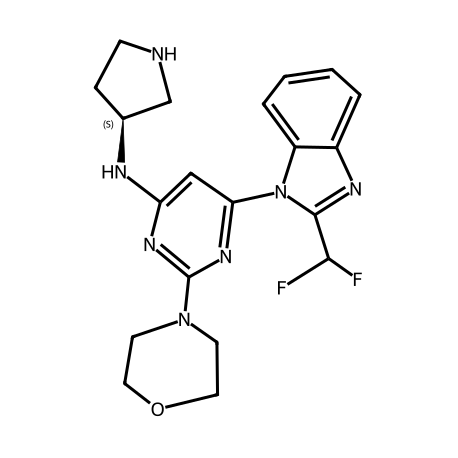 FC(F)c1nc2ccccc2n1-c1cc(N[C@H]2CCNC2)nc(N2CCOCC2)n1